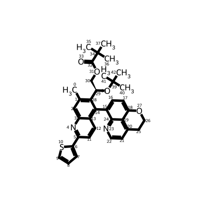 Cc1cc2nc(-c3cccs3)ccc2c(-c2ccc3c4c(ccnc24)CCO3)c1[C@@H](COC(=O)C(C)(C)C)OC(C)(C)C